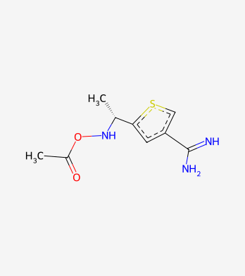 CC(=O)ON[C@H](C)c1cc(C(=N)N)cs1